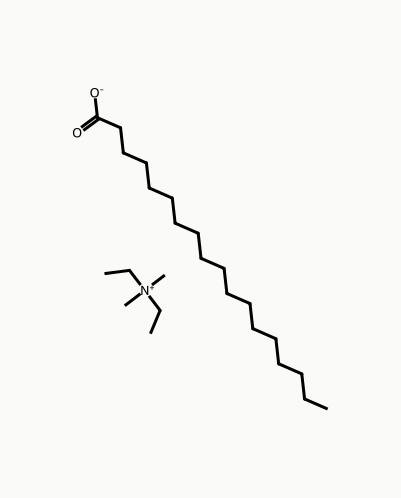 CCCCCCCCCCCCCCCCCC(=O)[O-].CC[N+](C)(C)CC